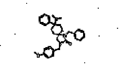 COc1ccc(CN2C[C@]3(CC[C@](c4ccccc4)(N(C)C)CC3)N(Cc3ccccc3)C2=O)cc1